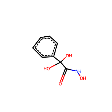 O=C(NO)C(O)(O)c1ccccc1